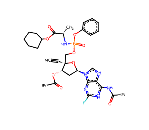 C#C[C@]1(CO[P@@](=O)(N[C@@H](C)C(=O)OC2CCCCC2)Oc2ccccc2)O[C@@H](n2cnc3c(NC(=O)C(C)C)nc(F)nc32)C[C@@H]1OC(=O)C(C)C